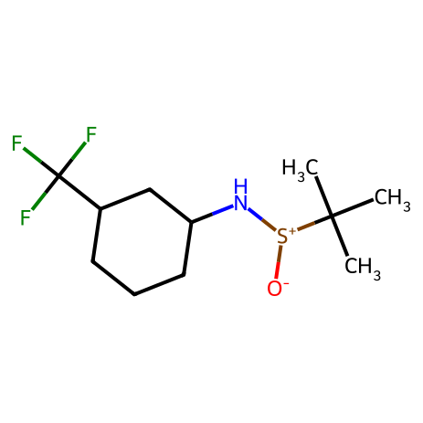 CC(C)(C)[S+]([O-])NC1CCCC(C(F)(F)F)C1